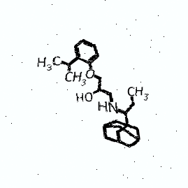 CCC(NCC(O)COc1ccccc1C(C)C)C12CC3CC(CC(C3)C1)C2